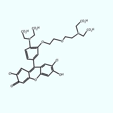 O=C(O)CN(CCOCCOc1cc(-c2c3cc(Cl)c(=O)cc-3oc3cc(O)c(Cl)cc23)ccc1N(CC(=O)O)CC(=O)O)CC(=O)O